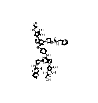 O=C(CO)N[C@H]1C[C@@H](n2cnc3c(N[C@H]4CC[C@H](Nc5nc(N6CC[C@@H](NC(=O)NCc7ccccn7)C6)nc6c5ncn6[C@@H]5C[C@H](NC(=O)CO)[C@@H](O)[C@H]5O)CC4)nc(N4CC[C@@H](NC(=O)NCc5ccccn5)C4)nc32)[C@H](O)[C@@H]1O